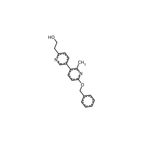 Cc1nc(OCc2ccccc2)ccc1-c1ccc(CCO)nc1